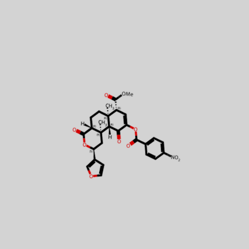 COC(=O)[C@@H]1C=C(OC(=O)c2ccc([N+](=O)[O-])cc2)C(=O)[C@H]2[C@@]1(C)CC[C@H]1C(=O)O[C@H](c3ccoc3)C[C@]21C